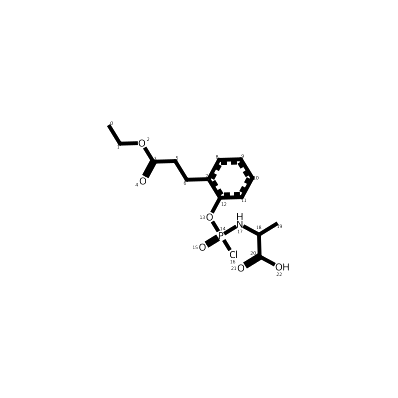 CCOC(=O)CCc1ccccc1OP(=O)(Cl)NC(C)C(=O)O